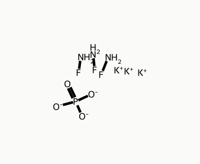 NF.NF.NF.O=P([O-])([O-])[O-].[K+].[K+].[K+]